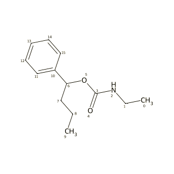 C[CH]NC(=O)OC(CCC)c1ccccc1